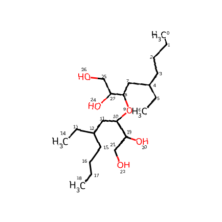 CCCCC(CC)CC(OC(CC(CC)CCCC)C(O)CO)C(O)CO